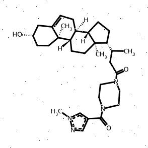 CC(CC(=O)N1CCN(C(=O)c2cnn(C)c2)CC1)[C@H]1CC[C@H]2[C@@H]3CC=C4C[C@@H](O)CC[C@]4(C)[C@H]3CC[C@]12C